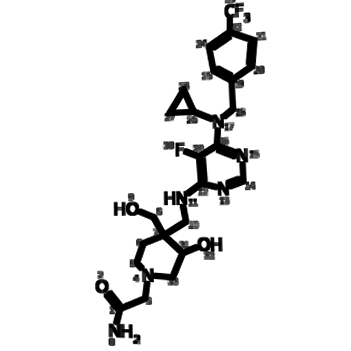 NC(=O)CN1CCC(CO)(CNc2ncnc(N(Cc3ccc(C(F)(F)F)cc3)C3CC3)c2F)C(O)C1